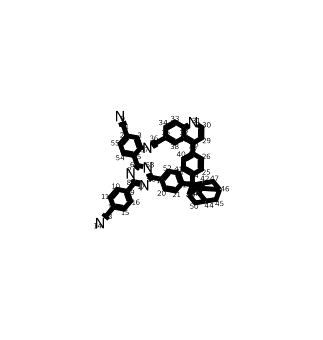 N#Cc1ccc(-c2nc(-c3ccc(C#N)cc3)nc(-c3ccc(C4(c5ccc(-c6ccnc7ccc(C#N)cc67)cc5)C5CC6CC(C5)CC4C6)cc3)n2)cc1